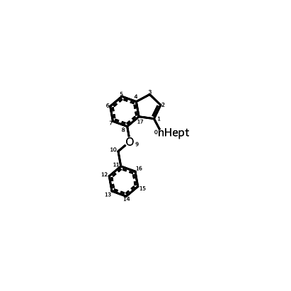 CCCCCCCC1=CCc2cccc(OCc3ccccc3)c21